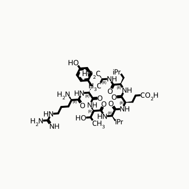 CC(C)C[C@@H](NC(=O)[C@@H](CCC(=O)O)NC(=O)[C@H](NC(=O)[C@H](NC(=O)[C@@H](Cc1ccc(O)cc1)NC(=O)[C@H](N)CCCNC(=N)N)C(C)O)C(C)C)C(=O)N[C@H](C)C(=O)O